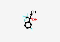 C#CC(O)(c1cccc(F)c1)C(F)(F)F